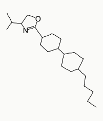 CCCCCC1CCC(C2CCC(C3=NC(C(C)C)CO3)CC2)CC1